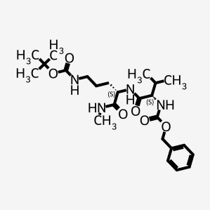 CNC(=O)[C@H](CCCNC(=O)OC(C)(C)C)NC(=O)[C@@H](NC(=O)OCc1ccccc1)C(C)C